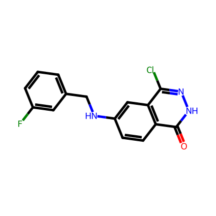 O=c1[nH]nc(Cl)c2cc(NCc3cccc(F)c3)ccc12